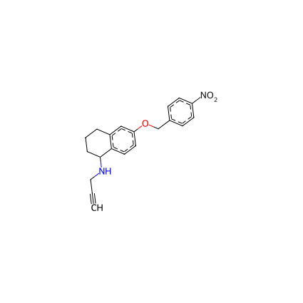 C#CCNC1CCCc2cc(OCc3ccc([N+](=O)[O-])cc3)ccc21